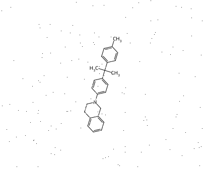 Cc1ccc(C(C)(C)c2ccc(N3CCc4ccccc4C3)cc2)cc1